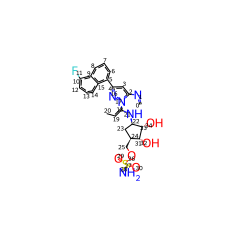 C=Nc1cc(-c2cccc3c(F)cccc23)nn1/C(=C\C)N[C@@H]1C[C@H](COS(N)(=O)=O)[C@@H](O)[C@H]1O